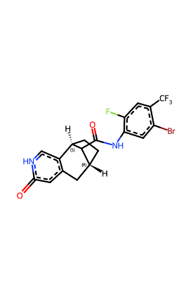 O=C(Nc1cc(Br)c(C(F)(F)F)cc1F)C1[C@@H]2CC[C@@H]1c1c[nH]c(=O)cc1C2